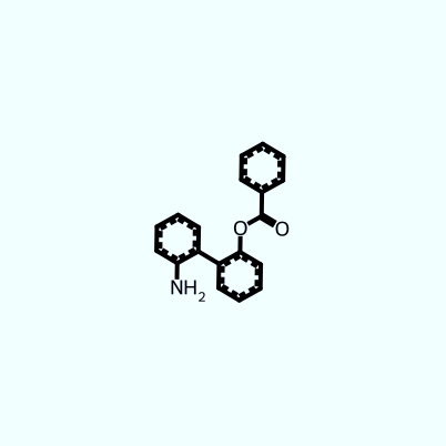 Nc1ccccc1-c1ccccc1OC(=O)c1ccccc1